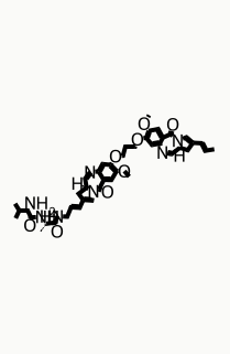 C/C=C/C1=CN2C(=O)c3cc(OC)c(OCCCOc4cc5c(cc4OC)C(=O)N4C=C(/C=C/CNC(=O)[C@H](C)NC(=O)[C@@H](N)C(C)C)C[C@H]4C=N5)cc3N=C[C@@H]2C1